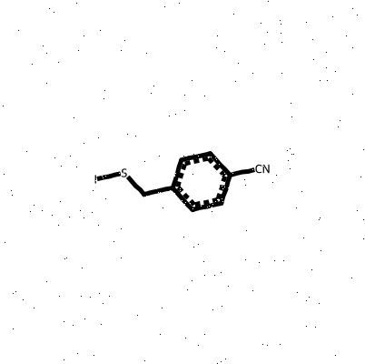 N#Cc1ccc(CSI)cc1